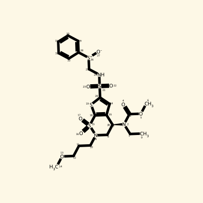 CCN(C(=O)OC)[C@H]1CN(CCCOC)S(=O)(=O)c2sc(S(=O)(=O)NC[S+]([O-])c3ccccc3)cc21